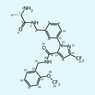 C[C@H](N)C(=O)NCc1cccc(-n2nc(C(F)(F)F)cc2C(=O)NCc2ccccc2OC(F)(F)F)c1